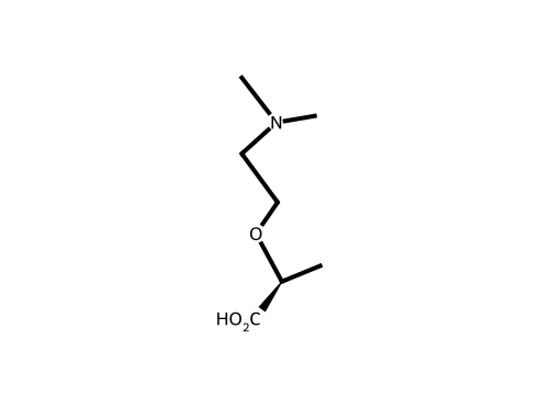 C[C@H](OCCN(C)C)C(=O)O